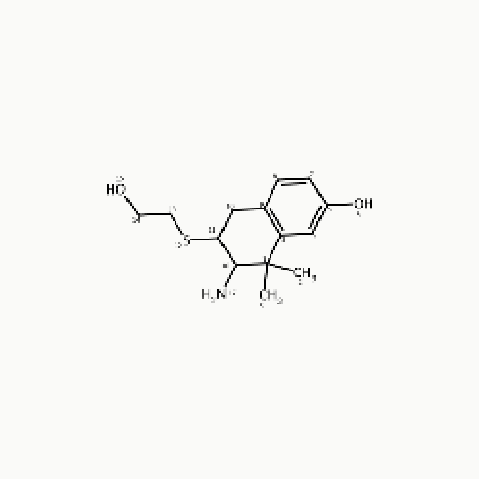 CC1(C)c2cc(O)ccc2CC(SCCO)C1N